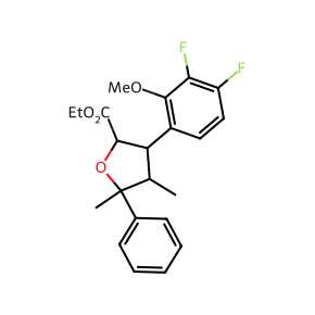 CCOC(=O)C1OC(C)(c2ccccc2)C(C)C1c1ccc(F)c(F)c1OC